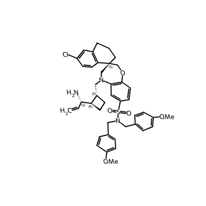 C=C[C@H](N)[C@@H]1CC[C@H]1CN1C[C@@]2(CCCc3cc(Cl)ccc32)COc2ccc(S(=O)(=O)N(Cc3ccc(OC)cc3)Cc3ccc(OC)cc3)cc21